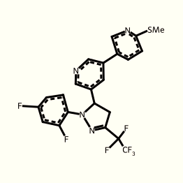 CSc1ccc(-c2cncc(C3CC(C(F)(F)C(F)(F)F)=NN3c3ccc(F)cc3F)c2)cn1